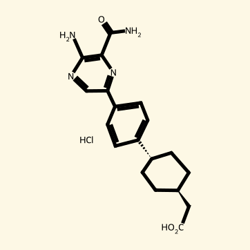 Cl.NC(=O)c1nc(-c2ccc([C@H]3CC[C@H](CC(=O)O)CC3)cc2)cnc1N